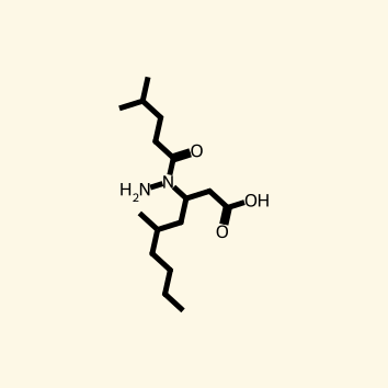 CCCCC(C)CC(CC(=O)O)N(N)C(=O)CCC(C)C